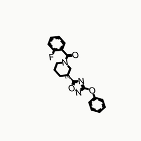 O=C(c1ccccc1F)N1CCC[C@H](c2nc(Oc3ccccc3)no2)C1